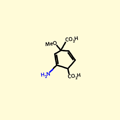 COC1(C(=O)O)C=CC(C(=O)O)C(N)=C1